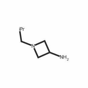 CC(C)CN1CC(N)C1